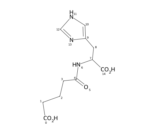 O=C(O)CCCC(=O)NC(Cc1c[nH]cn1)C(=O)O